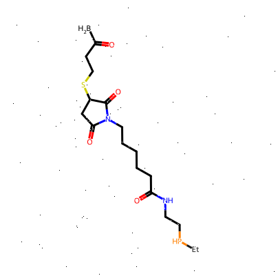 BC(=O)CCSC1CC(=O)N(CCCCCC(=O)NCCPCC)C1=O